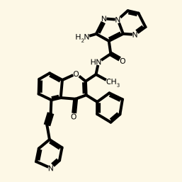 CC(NC(=O)c1c(N)nn2cccnc12)c1oc2cccc(C#Cc3ccncc3)c2c(=O)c1-c1ccccc1